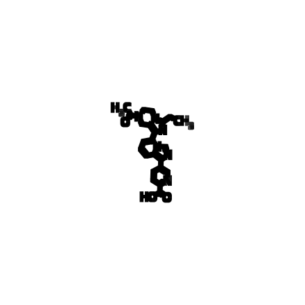 CCc1nc(-c2cccc3c(-c4ccc(C(=O)O)nc4)ncn23)c2n1CCN(C(C)=O)C2